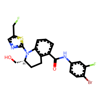 O=C(Nc1ccc(Br)c(F)c1)c1cccc2c1CC[C@H](CO)N2c1ncc(CF)s1